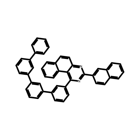 c1ccc(-c2cccc(-c3cccc(-c4cccc(-c5nc(-c6ccc7ccccc7c6)nc6ccc7ccccc7c56)c4)c3)c2)cc1